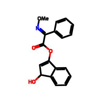 CO/N=C(/C(=O)OC1=CC(O)c2ccccc21)c1ccccc1